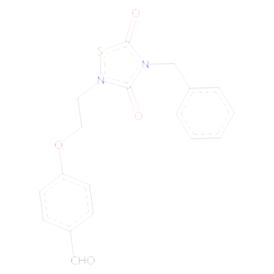 O=Cc1ccc(OCCn2sc(=O)n(Cc3ccccc3)c2=O)cc1